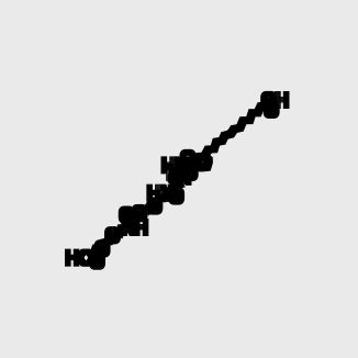 O=C(O)CCCCCCCCCCCCCc1cccc(S(=O)(=O)Nc2ncc(C(=O)NCCOCCOCC(=O)NCCOCCOCC(=O)O)cn2)c1